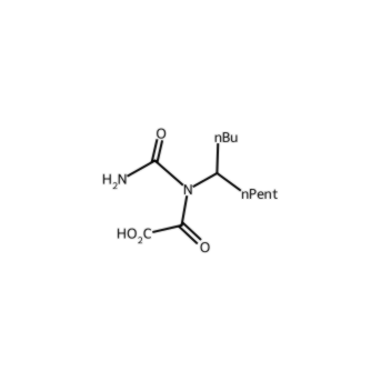 CCCCCC(CCCC)N(C(N)=O)C(=O)C(=O)O